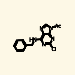 CC(=O)n1cnc2c(NCc3ccccc3)nc(Cl)nc21